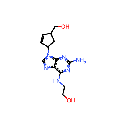 Nc1nc(NCCO)c2ncn(C3C=CC(CO)C3)c2n1